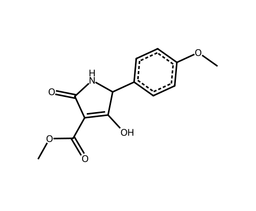 COC(=O)C1=C(O)C(c2ccc(OC)cc2)NC1=O